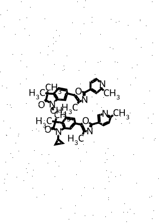 Cc1cc(-c2nc(C)c(-c3ccc4c(c3)N(C)C(=O)C4(C)C)o2)ccn1.Cc1ccc(-c2nc(C)c(-c3ccc4c(c3)N(C3CC3)C(=O)C4(C)C)o2)cn1